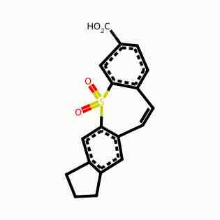 O=C(O)c1ccc2c(c1)S(=O)(=O)c1cc3c(cc1C=C2)CCC3